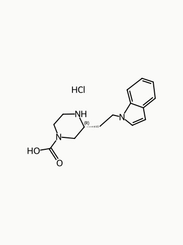 Cl.O=C(O)N1CCN[C@H](CCn2ccc3ccccc32)C1